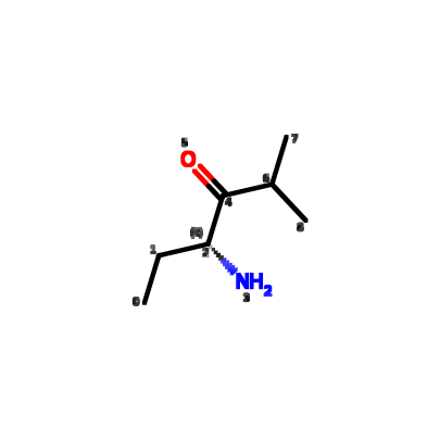 CC[C@@H](N)C(=O)C(C)C